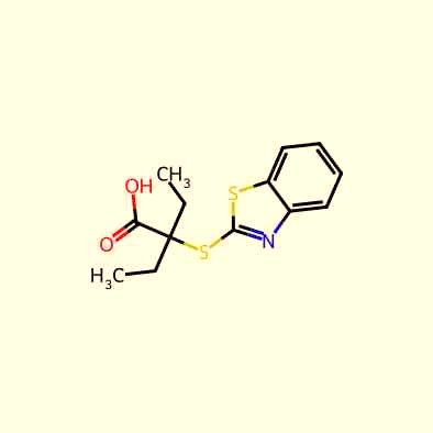 CCC(CC)(Sc1nc2ccccc2s1)C(=O)O